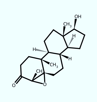 C[C@]12CC[C@H]3[C@@H](CC[C@@]45O[C@]4(C)C(=O)CC[C@]35C)[C@@H]1CC[C@@H]2O